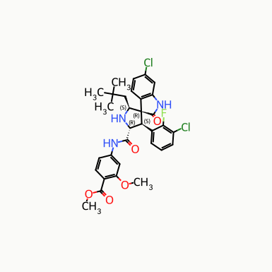 COC(=O)c1ccc(NC(=O)[C@@H]2N[C@@H](CC(C)(C)C)[C@@]3(C(=O)Nc4cc(Cl)ccc43)[C@H]2c2cccc(Cl)c2F)cc1OC